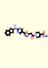 NNC(=O)C1=CCN(C(=O)Cc2nnc(-c3cnc(NC4Cc5ccccc5C4)nc3)o2)CC1